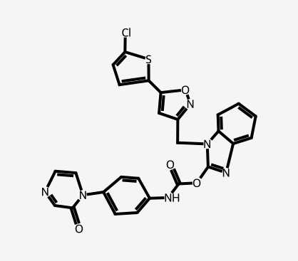 O=C(Nc1ccc(-n2ccncc2=O)cc1)Oc1nc2ccccc2n1Cc1cc(-c2ccc(Cl)s2)on1